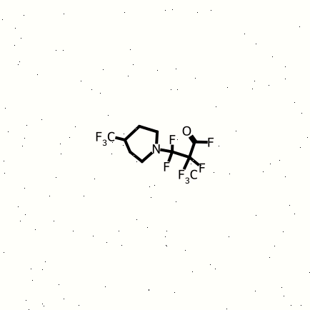 O=C(F)C(F)(C(F)(F)F)C(F)(F)N1CCC(C(F)(F)F)CC1